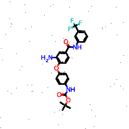 CC(C)(C)OC(=O)Nc1ccc(Oc2ccc(C(=O)Nc3cccc(C(F)(F)F)c3)cc2N)cc1